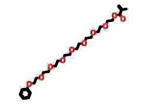 C=C(C)C(=O)OCCOCCOCCOCCOCCOCCOCCOCCOc1ccccc1